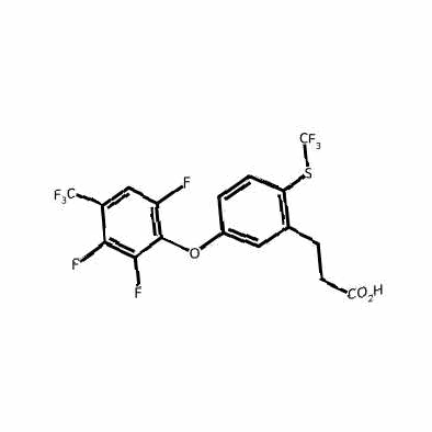 O=C(O)CCc1cc(Oc2c(F)cc(C(F)(F)F)c(F)c2F)ccc1SC(F)(F)F